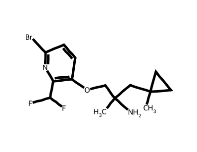 CC(N)(COc1ccc(Br)nc1C(F)F)CC1(C)CC1